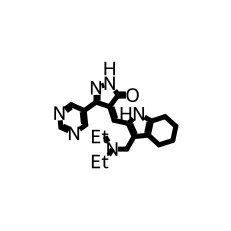 CCN(CC)Cc1c(C=C2C(=O)NN=C2c2cncnc2)[nH]c2c1CCCC2